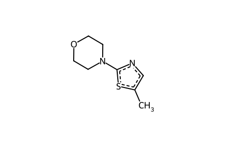 Cc1cnc(N2CCOCC2)s1